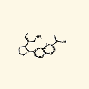 CC=C(CN)C1CCCN1c1ccc2ccc(C(=O)O)nc2c1